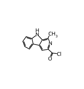 Cc1nc(C(=O)Cl)cc2c1[nH]c1ccccc12